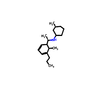 CCCC1=CC=CC([C@@H](C)NC2CCC[C@H](C)C2)C1C